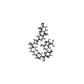 Cc1nc2c(F)cc(-c3nc(Nc4ccc(CC5CCN(C(=O)C6CN(c7ccc(NC8CCC(=O)NC8=O)cc7)C6)CC5)cn4)ncc3F)cc2n1C(C)C